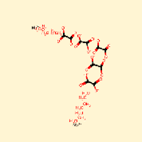 O.O.O.O.O.O.O.O.O.O.O.O.O=C([O-])C(=O)[O-].O=C([O-])C(=O)[O-].O=C([O-])C(=O)[O-].O=C([O-])C(=O)[O-].O=C([O-])C(=O)[O-].[Nb+5].[Nb+5]